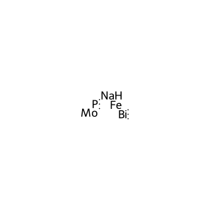 [Bi].[Fe].[Mo].[NaH].[P]